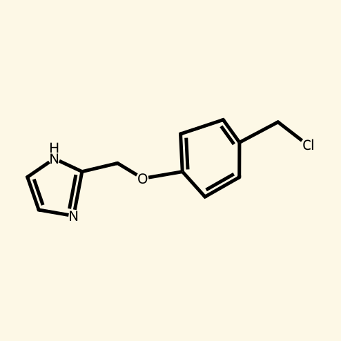 ClCc1ccc(OCc2ncc[nH]2)cc1